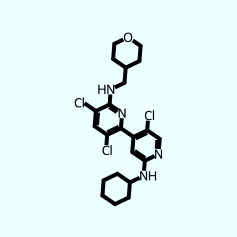 Clc1cnc(NC2CCCCC2)cc1-c1nc(NCC2CCOCC2)c(Cl)cc1Cl